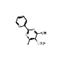 Cc1nc(-c2ccccn2)nc(O)c1C(=O)O